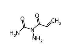 C=CC(=O)N(N)C(N)=O